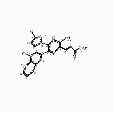 COC(=O)/C=C/c1nc(-c2cc(Cl)c3ncccc3c2)c(-n2ccc(C)n2)nc1N